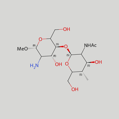 CO[C@@H]1OC(CO)[C@@H](O[C@@H]2OC(CO)[C@@H](C)[C@H](O)C2NC(C)=O)[C@H](O)C1N